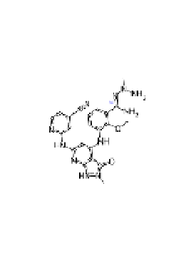 COc1c(Nc2cc(Nc3cc(C#N)ccn3)nc3[nH]n(C)c(=O)c23)cccc1/C(N)=N/N(C)N